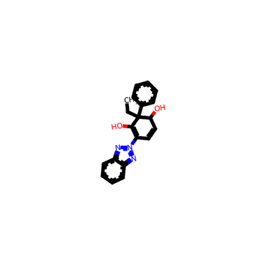 CCC1(c2ccccc2)C(O)=C(n2nc3ccccc3n2)C=CC1O